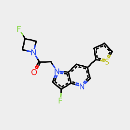 O=C(Cn1cc(F)c2ncc(-c3cccs3)cc21)N1CC(F)C1